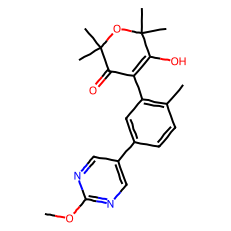 COc1ncc(-c2ccc(C)c(C3=C(O)C(C)(C)OC(C)(C)C3=O)c2)cn1